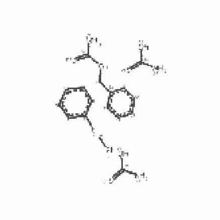 CCC.Fc1ccccc1.NC(=O)OCc1ccccc1.NC(O)=S.NC(O)=S